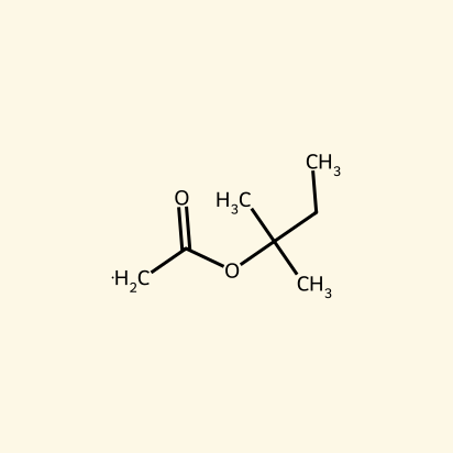 [CH2]C(=O)OC(C)(C)CC